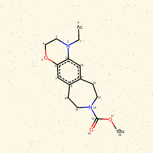 CC(=O)CN1CCOc2cc3c(cc21)CCN(C(=O)OC(C)(C)C)CC3